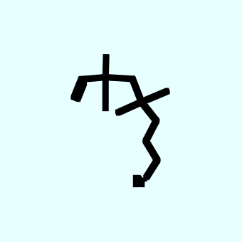 C=CC(C)(C)CC(C)(C)CCCBr